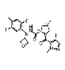 Cc1cc(F)c([C@H](NC(=O)[C@H]2C[C@@H](C)CN2C(=O)c2c(C)cnn2C)C2COC2)cc1F